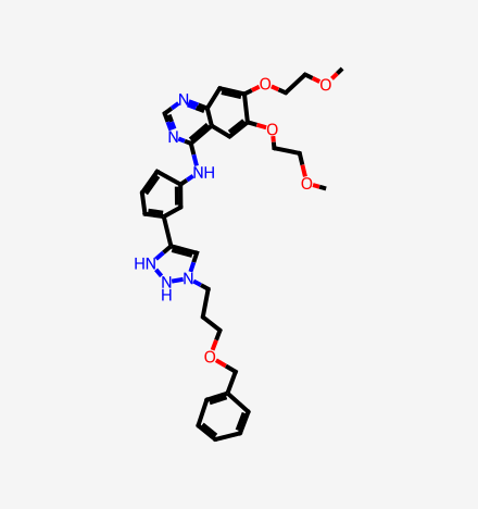 COCCOc1cc2ncnc(Nc3cccc(C4=CN(CCCOCc5ccccc5)NN4)c3)c2cc1OCCOC